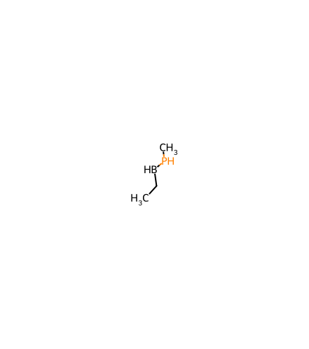 CCBPC